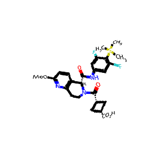 COc1ccc2c(n1)CCN(C(=O)[C@H]1C[C@@H](C(=O)O)C1)[C@H]2C(=O)Nc1cc(F)c(S(C)(C)C)c(F)c1